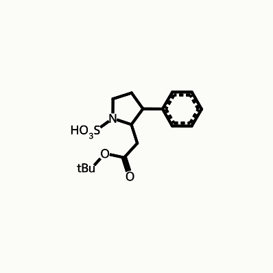 CC(C)(C)OC(=O)CC1C(c2ccccc2)CCN1S(=O)(=O)O